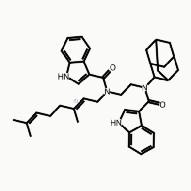 CC(C)=CCC/C(C)=C/CN(CCN(C(=O)c1c[nH]c2ccccc12)C1C2CC3CC(C2)CC1C3)C(=O)c1c[nH]c2ccccc12